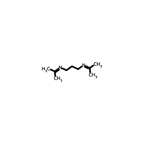 CC(C)=NCCCN=C(C)C